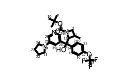 CC1CN(C(=O)OC(C)(C)C)C1C(O)(c1ccc(OC(F)(F)F)cc1)c1cncc(N2CCCC2)c1